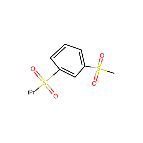 CC(C)S(=O)(=O)c1cccc(S(C)(=O)=O)c1